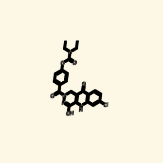 CCN(CC)C(=O)Oc1ccc(C(=O)N2Cc3c([nH]c4cc(Cl)ccc4c3=O)C(O)=N2)cc1